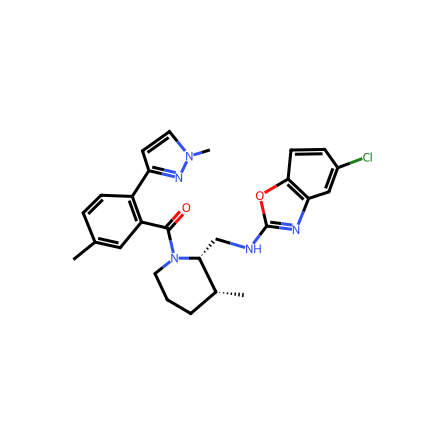 Cc1ccc(-c2ccn(C)n2)c(C(=O)N2CCC[C@@H](C)[C@H]2CNc2nc3cc(Cl)ccc3o2)c1